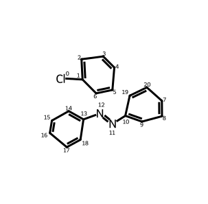 Clc1ccccc1.c1ccc(N=Nc2ccccc2)cc1